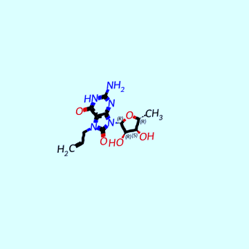 C=CCn1c(=O)n([C@@H]2O[C@H](C)[C@@H](O)[C@H]2O)c2nc(N)[nH]c(=O)c21